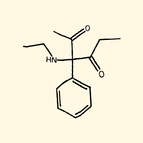 CCNC(C(C)=O)(C(=O)CC)c1ccccc1